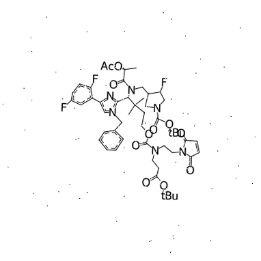 CC(=O)O[C@@H](C)C(=O)N(CC1CN(C(=O)OC(C)(C)C)CC1F)[C@@H](c1nc(-c2cc(F)ccc2F)cn1Cc1ccccc1)C(C)(C)CCOC(=O)N(CCC(=O)OC(C)(C)C)CCN1C(=O)C=CC1=O